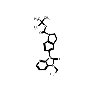 CCn1c(=O)n(-c2ccc3c(c2)CCN3C(=O)OC(C)(C)C)c2ncccc21